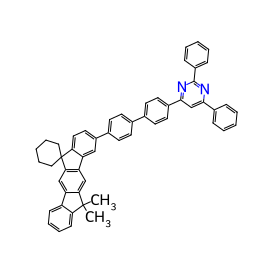 CC1(C)c2ccccc2-c2cc3c(cc21)-c1cc(-c2ccc(-c4ccc(-c5cc(-c6ccccc6)nc(-c6ccccc6)n5)cc4)cc2)ccc1C31CCCCC1